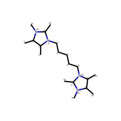 CC1C(C)N(CCCCCN2C(C)C(C)N(C)C2C)C(C)N1C